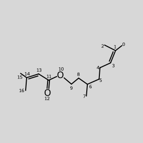 CC(C)=CCCC(C)CCOC(=O)C=C(C)C